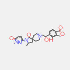 Cc1c(C(O)CN2CCC3(CC2)CC(C)N(c2ccc(=O)n(C)n2)C3=O)ccc2c1COC2=O